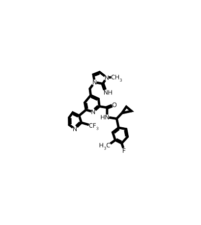 Cc1cc(C(NC(=O)c2cc(Cn3ccn(C)c3=N)cc(-c3cccnc3C(F)(F)F)n2)C2CC2)ccc1F